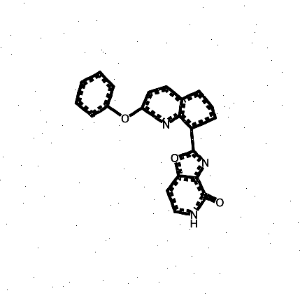 O=c1[nH]ccc2oc(-c3cccc4ccc(Oc5ccccc5)nc34)nc12